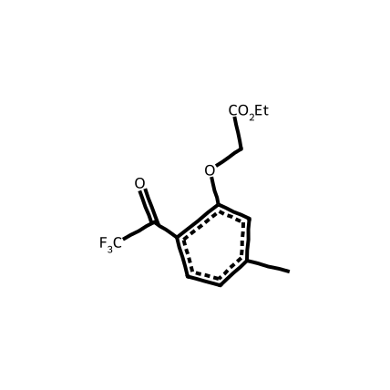 CCOC(=O)COc1cc(C)ccc1C(=O)C(F)(F)F